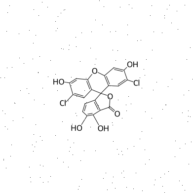 O=C1OC2(c3cc(Cl)c(O)cc3Oc3cc(O)c(Cl)cc32)c2ccc(O)c(O)c21